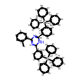 Cc1ccccc1C1=NC(c2cccc([Si](c3ccccc3)(c3ccccc3)c3ccccc3)c2)NC(c2cccc([Si](c3ccccc3)(c3ccccc3)c3ccccc3)c2)=N1